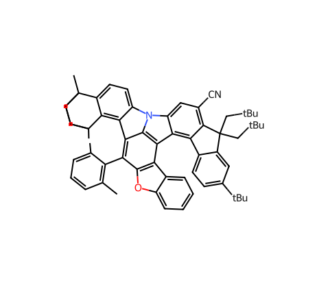 Cc1cccc(C)c1-c1c2oc3ccccc3c2c2c3c4c(c(C#N)cc3n3c5ccc6c(c5c1c23)C1(C)CCC6(C)CC1)C(CC(C)(C)C)(CC(C)(C)C)c1cc(C(C)(C)C)ccc1-4